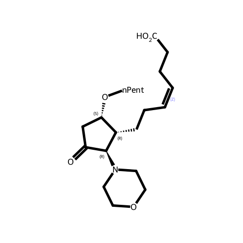 CCCCCO[C@H]1CC(=O)[C@H](N2CCOCC2)[C@H]1CC/C=C\CCC(=O)O